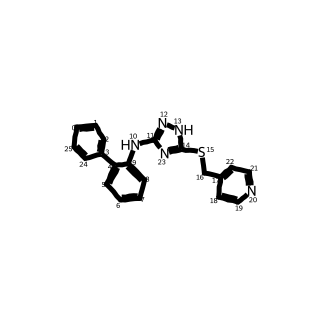 c1ccc(-c2ccccc2Nc2n[nH]c(SCc3ccncc3)n2)cc1